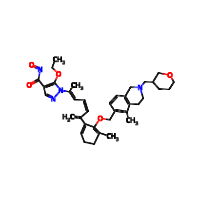 C=C(/C=C\C=C(/C)n1ncc(C(=O)N=O)c1OCC)C1=CCCC(C)=C1OCc1ccc2c(c1C)CCN(CC1CCCOC1)C2